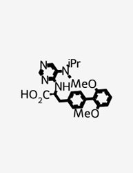 COc1cccc(OC)c1-c1ccc(C[C@H](Nc2ncncc2N(C)C(C)C)C(=O)O)cc1